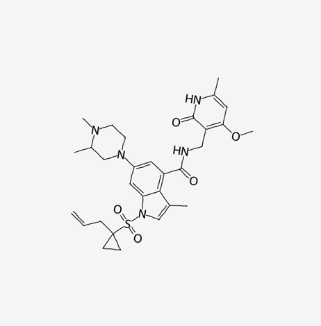 C=CCC1(S(=O)(=O)n2cc(C)c3c(C(=O)NCc4c(OC)cc(C)[nH]c4=O)cc(N4CCN(C)C(C)C4)cc32)CC1